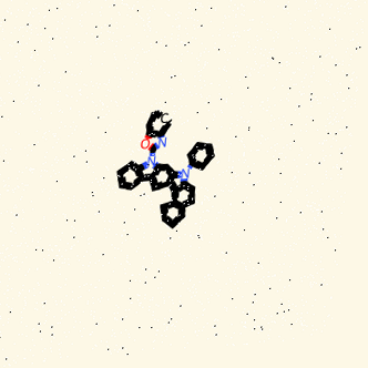 c1ccc(-n2c3cc4c(cc3c3c5ccccc5ccc32)c2ccccc2n4-c2nc3ccccc3o2)cc1